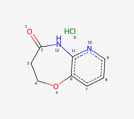 Cl.O=C1CCOc2cccnc2N1